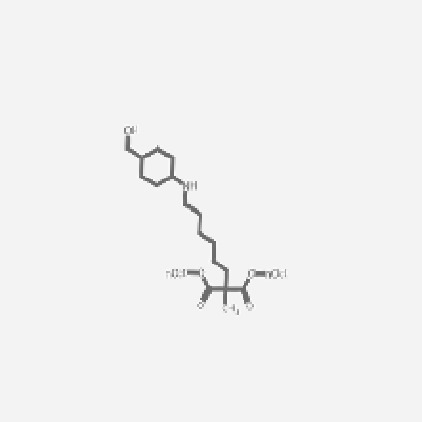 CCCCCCCCOC(=O)C(C)(CCCCCCNC1CCC(CO)CC1)C(=O)OCCCCCCCC